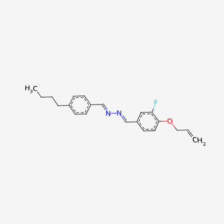 C=CCOc1ccc(C=NN=Cc2ccc(CCCC)cc2)cc1F